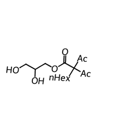 CCCCCCC(C(C)=O)(C(C)=O)C(=O)OCC(O)CO